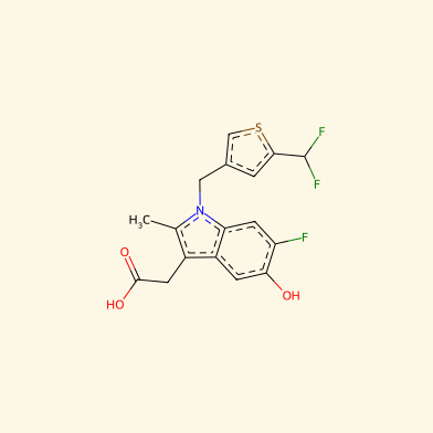 Cc1c(CC(=O)O)c2cc(O)c(F)cc2n1Cc1csc(C(F)F)c1